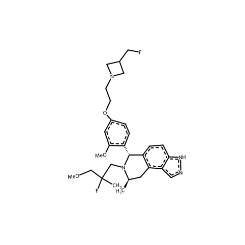 COCC(C)(F)CN1[C@H](c2ccc(OCCN3CC(CF)C3)cc2OC)c2ccc3[nH]ncc3c2C[C@H]1C